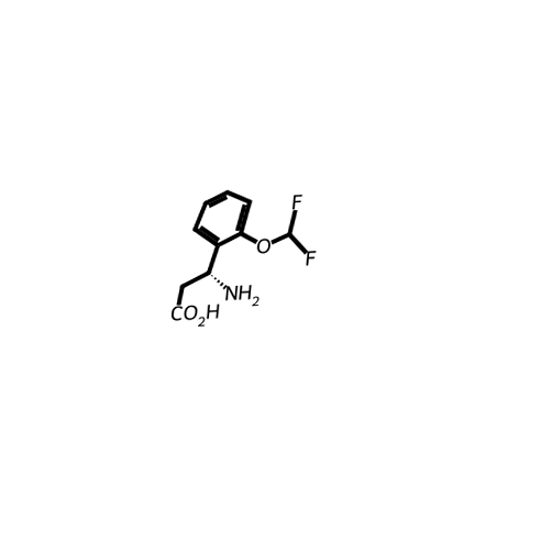 N[C@H](CC(=O)O)c1ccccc1OC(F)F